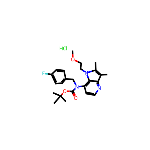 COCCn1c(C)c(C)c2nccc(N(Cc3ccc(F)cc3)C(=O)OC(C)(C)C)c21.Cl